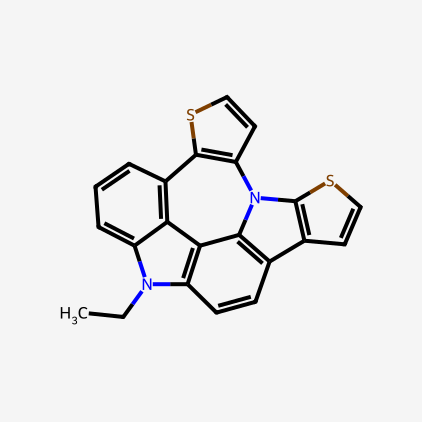 CCn1c2cccc3c4sccc4n4c5sccc5c5ccc1c(c32)c54